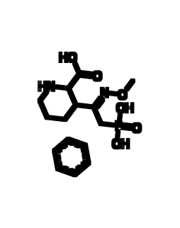 CON=C(CP(=O)(O)O)C1CCCNC1C(=O)O.c1ccccc1